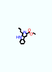 C=CCc1nc(C(=O)OCC)cc2c1[nH]c1ccccc12